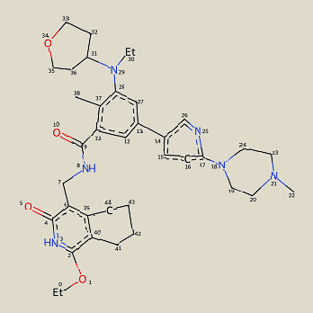 CCOc1[nH]c(=O)c(CNC(=O)c2cc(-c3ccc(N4CCN(C)CC4)nc3)cc(N(CC)C3CCOCC3)c2C)c2c1CCCC2